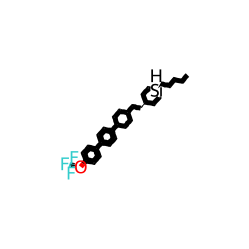 CCCCC[Si@H]1CC[C@H](CCC2CCC(c3ccc(-c4ccc(OC(F)(F)F)cc4)cc3)CC2)CC1